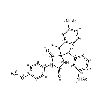 CC(=O)Nc1cc(C(C)C2(C(C)c3ccnc(NC(C)=O)c3)NC(=O)N(c3ccc(OC(F)(F)F)cc3)C2=O)ccn1